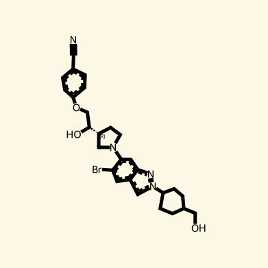 N#Cc1ccc(OCC(O)[C@@H]2CCN(c3cc4nn(C5CCC(CO)CC5)cc4cc3Br)C2)cc1